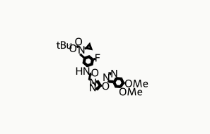 COc1cc2ncnc(Oc3cnn(CC(=O)Nc4cc(F)cc(CN(C(=O)OC(C)(C)C)C5CC5)c4)c3)c2cc1OC